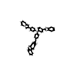 c1c(-c2nc3ccccc3s2)ccc(N(c2ccc(-c3ccc4c(c3)sc3ccccc34)cc2)c2ccc(-c3cc4ccccn4c3)cc2)c#1